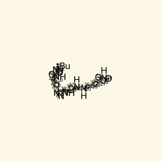 Cc1cc(-c2ncnc3[nH]c(-c4ccc(NCCNC5CC(c6ccc(C7CCC(=O)NC7=O)cc6)C5)cc4)cc23)ccc1[C@@H](C)NC(=O)c1nc(C(C)(C)C)no1